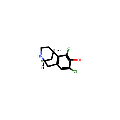 C[C@]12CCN[C@@H](Cc3cc(Cl)c(O)c(Cl)c31)C2